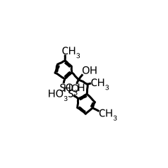 Cc1ccc(S(=O)(=O)O)c(C(C)C(O)(O)c2cc(C)ccc2S(=O)(=O)O)c1